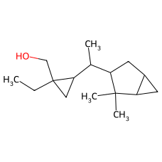 CCC1(CO)CC1C(C)C1CC2CC2C1(C)C